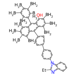 Bc1c(B)c(B)c(-c2c3c(B)c(B)c(B)c(B)c3c(-c3ccc(-c4ccc(-n5c(CC)nc6ccccc65)cc4)cc3)c3c(B)c(B)c(B)c(O)c23)c(B)c1B